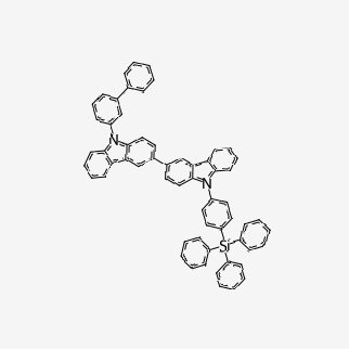 c1ccc(-c2cccc(-n3c4ccccc4c4cc(-c5ccc6c(c5)c5ccccc5n6-c5ccc([Si](c6ccccc6)(c6ccccc6)c6ccccc6)cc5)ccc43)c2)cc1